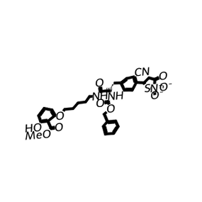 COC(=O)c1c(O)cccc1OCCCCCNC(=O)[C@H](Cc1ccc(C2CC(=O)[N+]([O-])([O-])S2)c(C#N)c1)NC(=O)OCc1ccccc1